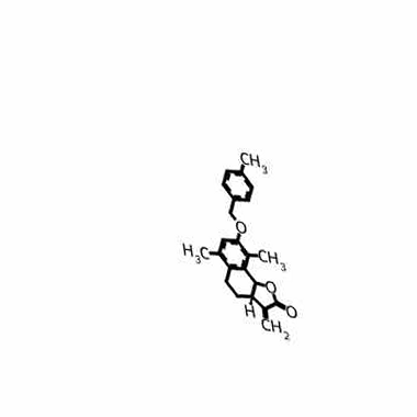 C=C1C(=O)OC2c3c(C)c(OCc4ccc(C)cc4)cc(C)c3CC[C@@H]12